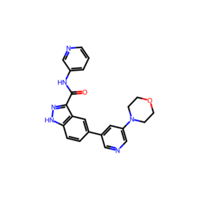 O=C(Nc1cccnc1)c1n[nH]c2ccc(-c3cncc(N4CCOCC4)c3)cc12